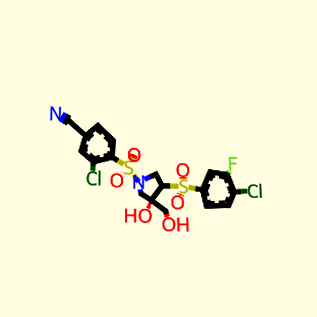 N#Cc1ccc(S(=O)(=O)N2CC(S(=O)(=O)c3ccc(Cl)c(F)c3)[C@](O)(CO)C2)c(Cl)c1